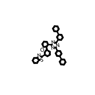 c1ccc(-c2ccc(-c3nc(-c4cccc(-c5ccccc5)c4)nc(-c4cccc5oc6c(-c7nc8ccccc8s7)cccc6c45)n3)cc2)cc1